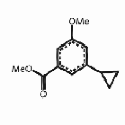 COC(=O)c1cc(OC)cc(C2CC2)c1